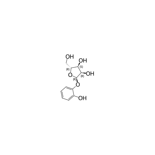 OC[C@H]1O[C@H](Oc2ccccc2O)[C@H](O)[C@@H]1O